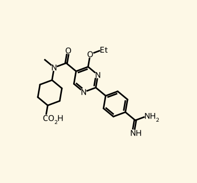 CCOc1nc(-c2ccc(C(=N)N)cc2)ncc1C(=O)N(C)C1CCC(C(=O)O)CC1